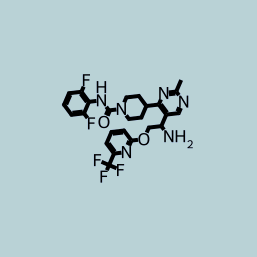 Cc1ncc(C(N)COc2cccc(C(F)(F)F)n2)c(C2CCN(C(=O)Nc3c(F)cccc3F)CC2)n1